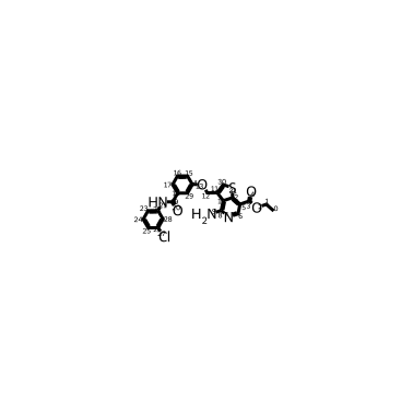 CCOC(=O)c1cnc(N)c2c(COc3cccc(C(=O)Nc4cccc(Cl)c4)c3)csc12